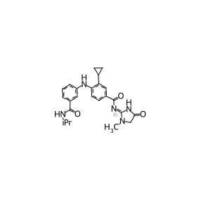 CC(C)NC(=O)c1cccc(Nc2ccc(C(=O)/N=C3\NC(=O)CN3C)cc2C2CC2)c1